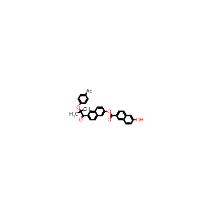 CC(=O)c1ccc(OC(C)(C)C(=O)c2ccc3cc(OC(=O)c4ccc5cc(O)ccc5c4)ccc3c2)cc1